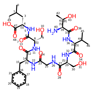 CC(C)C[C@H](NC(=O)[C@H](CO)NC(=O)[C@H](Cc1ccccc1)NC(=O)CNC(=O)[C@H](CO)NC(=O)[C@@H](NC(=O)[C@@H](N)[C@@H](C)O)C(C)C)C(=O)O